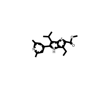 CCc1c(C(=O)OC)sc2c(C(C)C)c(-c3cc(C)nc(C)c3)[nH]c12